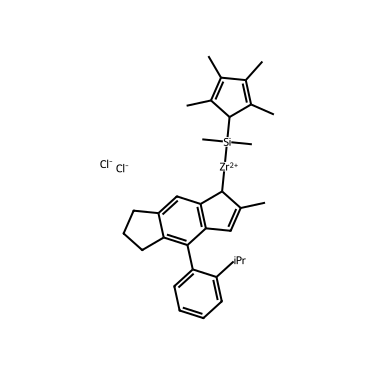 CC1=Cc2c(cc3c(c2-c2ccccc2C(C)C)CCC3)[CH]1[Zr+2][Si](C)(C)C1C(C)=C(C)C(C)=C1C.[Cl-].[Cl-]